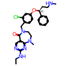 CCNc1ncc2c(n1)N(C)CCN(Cc1ccc(O[C@@H](CCNC)c3ccccc3)cc1Cl)C2=O